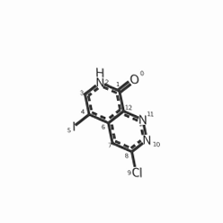 O=c1[nH]cc(I)c2cc(Cl)nnc12